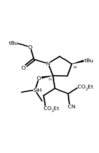 CCOC(=O)CC(C(C#N)C(=O)OCC)[C@@]1(O[SiH](C)C)C[C@H](C(C)(C)C)CN1C(=O)OC(C)(C)C